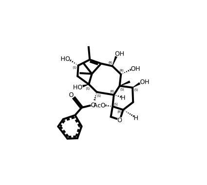 CC(=O)O[C@@]12CO[C@@H]1C[C@H](O)[C@]1(C)[C@@H]2[C@H](OC(=O)c2ccccc2)[C@]2(O)C[C@H](O)C(C)=C([C@@H](O)[C@@H]1O)C2(C)C